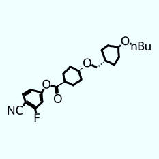 CCCCO[C@H]1CC[C@H](CO[C@H]2CC[C@H](C(=O)Oc3ccc(C#N)c(F)c3)CC2)CC1